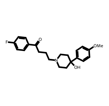 COc1ccc(C2(O)CCN(CCCC(=O)c3ccc(F)cc3)CC2)cc1